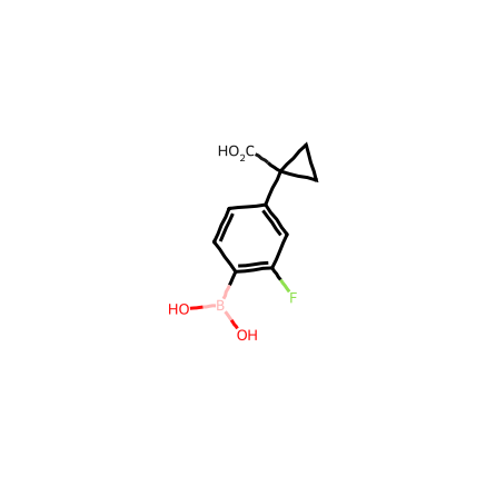 O=C(O)C1(c2ccc(B(O)O)c(F)c2)CC1